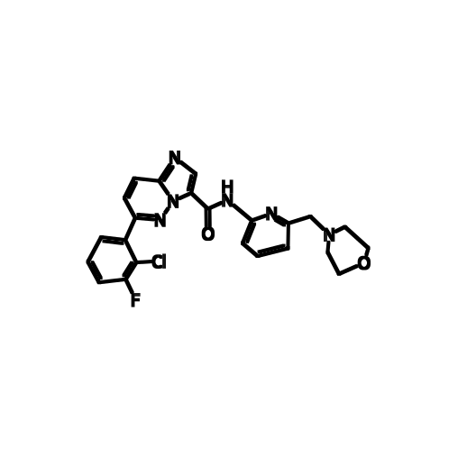 O=C(Nc1cccc(CN2CCOCC2)n1)c1cnc2ccc(-c3cccc(F)c3Cl)nn12